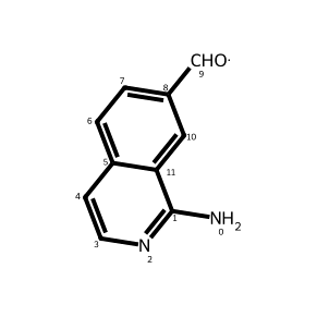 Nc1nccc2ccc([C]=O)cc12